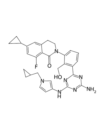 Nc1nc(Nc2ccn(CC3CC3)c2)nc(-c2cccc(N3CCc4cc(C5CC5)cc(F)c4C3=O)c2CO)n1